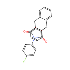 O=C1C2=C(C(=O)N1c1ccc(F)cc1)C1c3ccccc3C2c2ccccc21